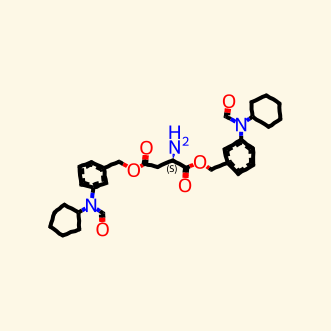 N[C@@H](CC(=O)OCc1cccc(N(C=O)C2CCCCC2)c1)C(=O)OCc1cccc(N(C=O)C2CCCCC2)c1